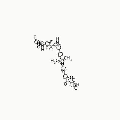 C[C@@H]1CN(C2CCN(c3ccc4c(c3)C(=O)N(C3CCC(=O)NC3=O)C4=O)CC2)C[C@H](C)N1c1ccc(-c2cnc3[nH]cc(C(=O)c4c(F)ccc(NS(=O)(=O)N5CC[C@@H](F)C5)c4F)c3c2)cc1